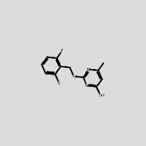 Cc1cc(O)nc(SCc2c(F)cccc2Cl)n1